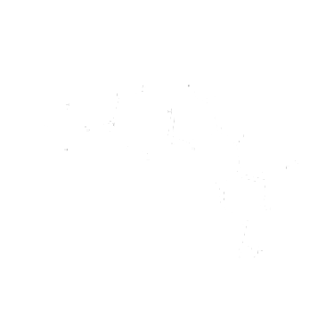 O=C(O)c1ccc(Oc2ccc3c(c2)CCN(C2CCC2)CC3)c(F)c1